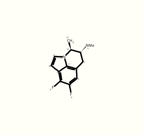 CN[C@@H]1Cc2cc(F)c(F)c3ccn(c23)[C@H]1C